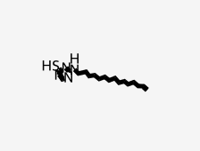 C=CCCCCCCCCCCCCCNc1ncnc(S)n1